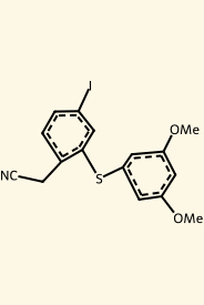 COc1cc(OC)cc(Sc2cc(I)ccc2CC#N)c1